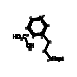 CCCCCCCCCc1cccnc1.O=C(O)O